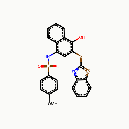 COc1ccc(S(=O)(=O)Nc2cc(Sc3nc4ccccc4s3)c(O)c3ccccc23)cc1